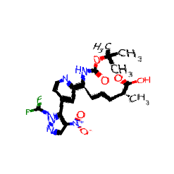 C[C@H](CCC[C@H](NC(=O)OC(C)(C)C)c1cc(-c2c([N+](=O)[O-])cnn2C(F)F)ccn1)C(=O)O